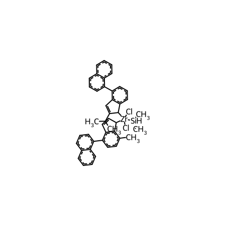 Cc1ccc(-c2cccc3ccccc23)c2c1[CH]([Zr]([Cl])([Cl])([CH]1C(C(C)C)=Cc3c(-c4cccc5ccccc45)cccc31)[SiH](C)C)C=C2